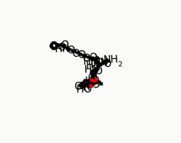 CCCC1O[C@@H]2C[C@H]3[C@@H]4CCC5=CC(=O)C=C[C@]5(C)[C@H]4[C@@H](O)C[C@]3(C)[C@]2(C(=O)COc2ccc(NC(=O)[C@H](CCCNC(N)=O)NC(=O)[C@@H](NC(=O)CCOCCOCCOCCOCCNC(=O)OCC3C4CCC#CCCC43)C(C)C)cc2)O1